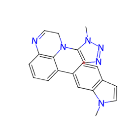 Cn1nncc1N1CC=Nc2cccc(-c3ccc4ccn(C)c4c3)c21